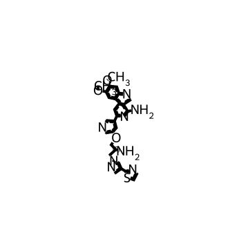 COc1cc2ncc3c(N)nc(-c4cncc(OC[C@@H](N)Cn5cc(-c6nccs6)cn5)c4)cc3c2cc1OC